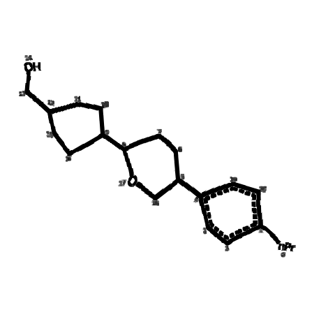 CCCc1ccc(C2CCC(C3CCC(CO)CC3)OC2)cc1